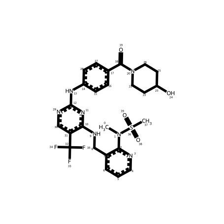 CN(c1ncccc1CNc1nc(Nc2ccc(C(=O)N3CCC(O)CC3)cc2)ncc1C(F)(F)F)S(C)(=O)=O